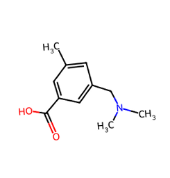 Cc1cc(CN(C)C)cc(C(=O)O)c1